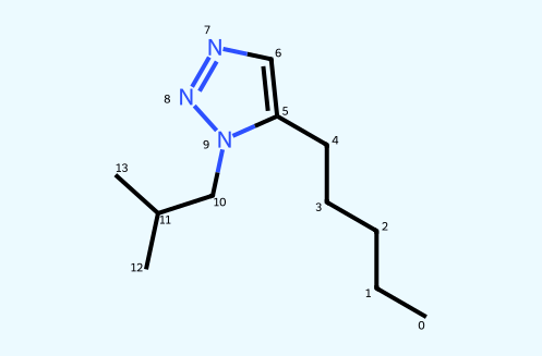 CCCCCc1cnnn1CC(C)C